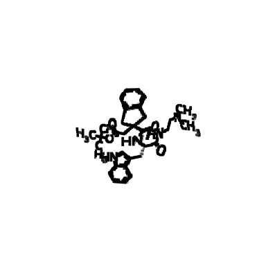 CN(C)CCNC(=O)[C@H](Cc1c[nH]c2ccccc12)NC(=O)C1(CC(=O)OC(C)(C)C)Cc2ccccc2C1